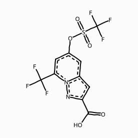 O=C(O)c1cc2cc(OS(=O)(=O)C(F)(F)F)cc(C(F)(F)F)n2n1